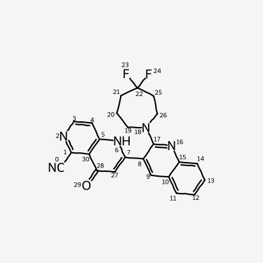 N#Cc1nccc2[nH]c(-c3cc4ccccc4nc3N3CCCC(F)(F)CC3)cc(=O)c12